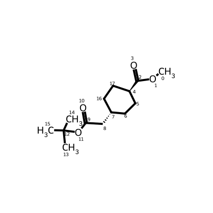 COC(=O)[C@H]1CC[C@H](CC(=O)OC(C)(C)C)CC1